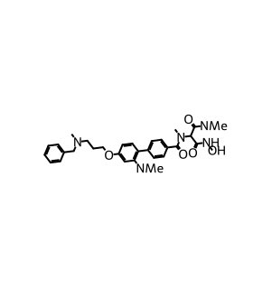 CNC(=O)C(C(=O)NO)N(C)C(=O)c1ccc(-c2ccc(OCCCN(C)Cc3ccccc3)cc2NC)cc1